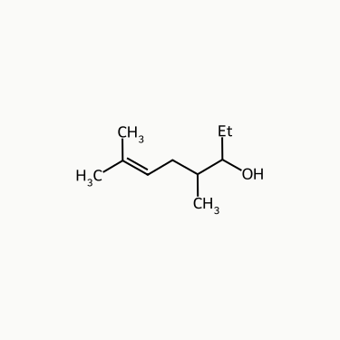 CCC(O)C(C)CC=C(C)C